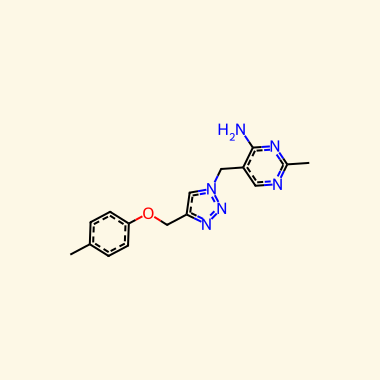 Cc1ccc(OCc2cn(Cc3cnc(C)nc3N)nn2)cc1